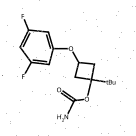 CC(C)(C)C1(OC(N)=O)CC(Oc2cc(F)cc(F)c2)C1